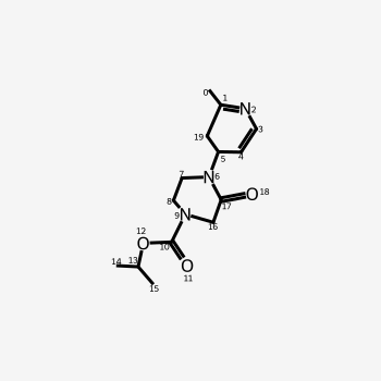 CC1=NC=CC(N2CCN(C(=O)OC(C)C)CC2=O)C1